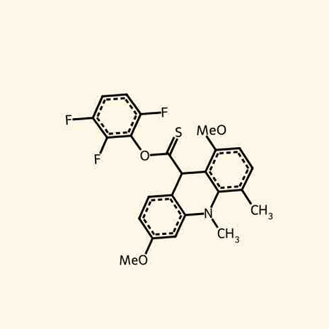 COc1ccc2c(c1)N(C)c1c(C)ccc(OC)c1C2C(=S)Oc1c(F)ccc(F)c1F